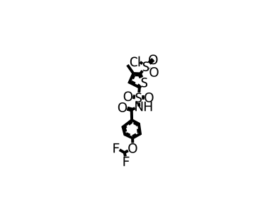 Cc1cc(S(=O)(=O)NC(=O)c2ccc(OC(F)F)cc2)sc1S(=O)(=O)Cl